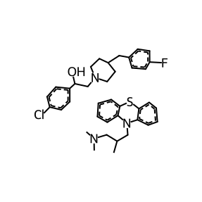 CC(CN(C)C)CN1c2ccccc2Sc2ccccc21.OC(CN1CCC(Cc2ccc(F)cc2)CC1)c1ccc(Cl)cc1